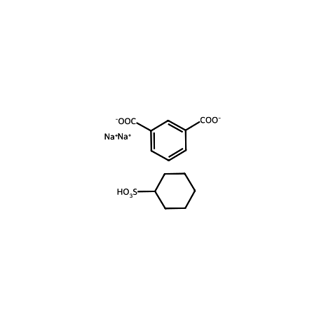 O=C([O-])c1cccc(C(=O)[O-])c1.O=S(=O)(O)C1CCCCC1.[Na+].[Na+]